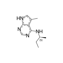 CC[C@H](C)Nc1ncnc2[nH]cc(C)c12